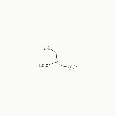 CCOC(=O)CC(CC=O)C(=O)OCC